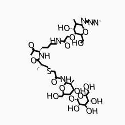 CC(=O)[C@H](CCCCNC(=O)CO[C@@H]1C(CO)O[C@@H](N=[N+]=[N-])C(C)[C@H]1O)NC(=O)[C@@H](C)CSCC(=O)N[C@@H]1OC(CO)[C@@H](O[C@@H]2OC(CO)[C@H](O)C(O)[C@@H]2O)C(O)[C@@H]1C